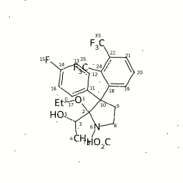 CCOC1(C(C)O)N(C(=O)O)CCC1(c1ccc(F)cc1)c1cccc(C(F)(F)F)c1C(F)(F)F